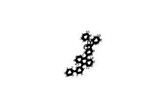 c1ccc(-c2cccc(-c3c4ccccc4c(-c4ccc5c(c4)oc4c5c5ccccc5n4-c4ccccc4)c4ccccc34)c2)cc1